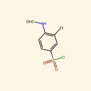 CCc1cc(S(=O)(=O)Cl)ccc1NC=O